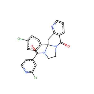 O=C(c1ccnc(Cl)c1)N1CCN2C(=O)c3cccnc3CC12c1ccc(Cl)cc1